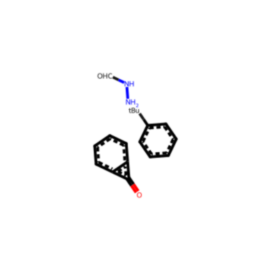 CC(C)(C)c1ccccc1.NNC=O.O=c1c2ccccc12